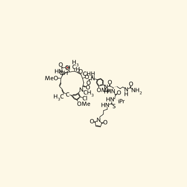 COc1cc(NC(=O)O[C@H]2CC(=O)N(C)c3cc(cc(OC)c3Cl)C/C(C)=C/C=C/[C@@H](OC)[C@@]3(O)C[C@H](OC(=O)N3)[C@@H](C)[C@@H]3O[C@@]23C)ccc1NC(=O)[C@H](CCCNC(N)=O)NC(=O)[C@@H](NC(=S)NCCCCN1C(=O)C=CC1=O)C(C)C